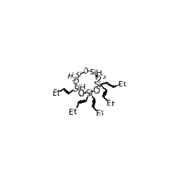 CCC=C[SiH]1O[SiH2]O[SiH2]O[Si](C=CCC)(C=CCC)O[Si](C=CCC)(C=CCC)O1